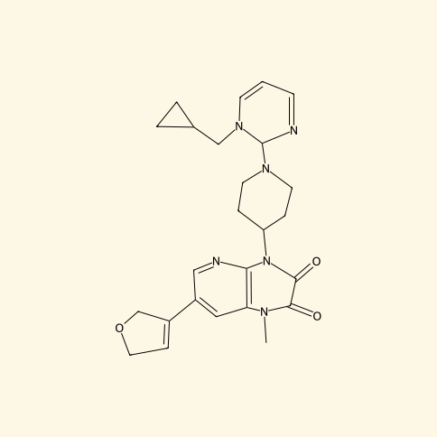 Cn1c(=O)c(=O)n(C2CCN(C3N=CC=CN3CC3CC3)CC2)c2ncc(C3=CCOC3)cc21